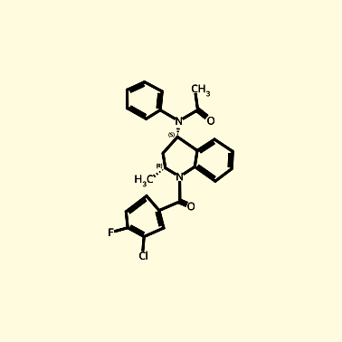 CC(=O)N(c1ccccc1)[C@H]1C[C@@H](C)N(C(=O)c2ccc(F)c(Cl)c2)c2ccccc21